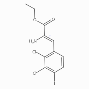 CCOC(=O)/C(N)=C/c1ccc(I)c(Cl)c1Cl